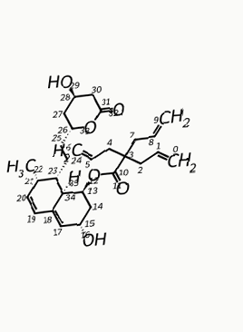 C=CCC(CC=C)(CC=C)C(=O)O[C@H]1C[C@H](O)C=C2C=C[C@H](C)[C@H](CC[C@@H]3C[C@@H](O)CC(=O)O3)[C@H]21